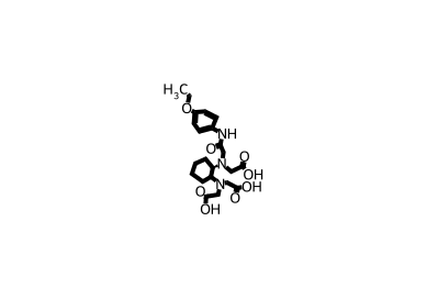 CCOc1ccc(NC(=O)CN(CC(=O)O)[C@@H]2CCCCC2N(CC(=O)O)CC(=O)O)cc1